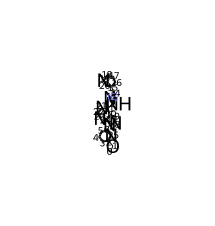 COc1cccc(-n2ncc3c(N/N=C/c4cccnc4)ncnc32)n1